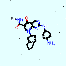 CCNC(=O)c1cn(-c2ccc3c(c2)CCC3)c2nc(Nc3ccc(N)cc3)ncc2c1=O